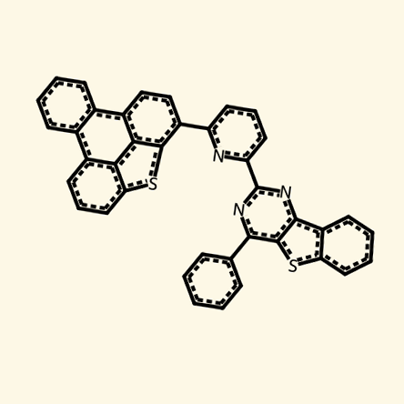 c1ccc(-c2nc(-c3cccc(-c4ccc5c6ccccc6c6cccc7sc4c5c76)n3)nc3c2sc2ccccc23)cc1